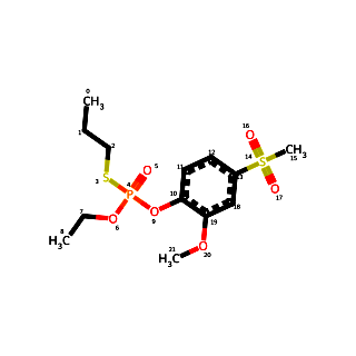 CCCSP(=O)(OCC)Oc1ccc(S(C)(=O)=O)cc1OC